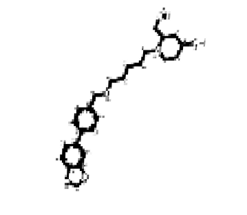 OCC1CC(O)CCN1CCCCCOCc1ccc(-c2ccc3c(c2)OCO3)cc1